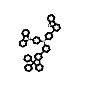 c1ccc(C2(c3ccccc3)c3ccccc3-c3cc(-c4cccc(N(c5ccc(-c6cccc7c6oc6ccccc67)cc5)c5ccc(-n6c7ccccc7c7ccccc76)cc5)c4)ccc32)cc1